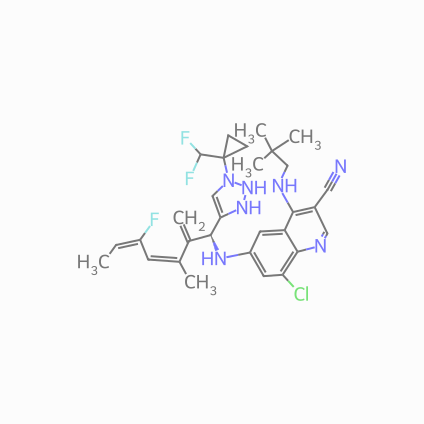 C=C(/C(C)=C\C(F)=C/C)[C@H](Nc1cc(Cl)c2ncc(C#N)c(NCC(C)(C)C)c2c1)C1=CN(C2(C(F)F)CC2)NN1